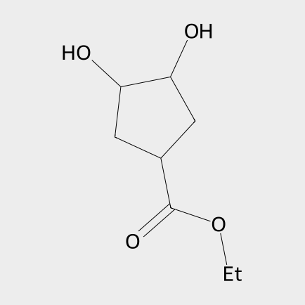 CCOC(=O)C1CC(O)C(O)C1